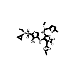 CC[C@@H](NC1=NS(=O)(=O)C(C2OC(C)O2)=C1Nc1csc(S(=O)(=O)N(CC)C2CC2)c1O)c1ccc(C)o1